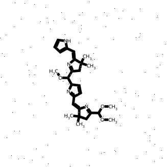 COC(OC)C1=N/C(=C\C2=NC(C(OC)C3=N/C(=C\c4ccc[nH]4)C(C)(C)C3)C=C2)C(C)(C)C1